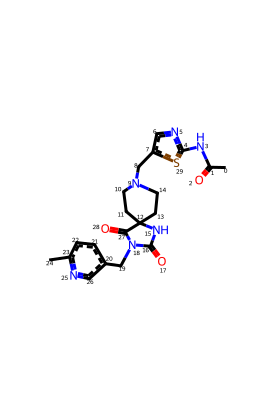 CC(=O)Nc1ncc(CN2CCC3(CC2)NC(=O)N(Cc2ccc(C)nc2)C3=O)s1